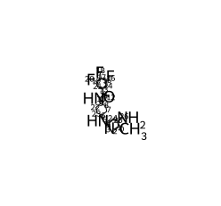 Cc1cnc(NC2CCC(NC(=O)c3cc(F)c(F)c(F)c3)CC2)cc1N